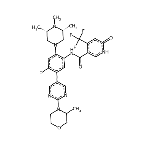 CC1COCCN1c1ncc(-c2cc(NC(=O)c3c[nH]c(=O)cc3C(F)(F)F)c(N3C[C@@H](C)N(C)[C@@H](C)C3)cc2F)cn1